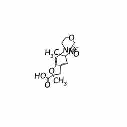 CC1(C(=O)O)CC2=CC([N+](=O)[O-])C(C)(N3CCOCC3)C=C2O1